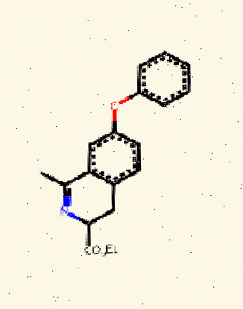 CCOC(=O)C1Cc2ccc(Oc3ccccc3)cc2C(C)=N1